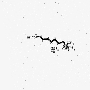 CCCCCCCCCCCCCC[N+](C)(C)C.P.[Cl-]